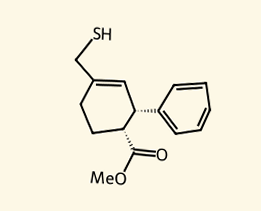 COC(=O)[C@@H]1CCC(CS)=C[C@@H]1c1ccccc1